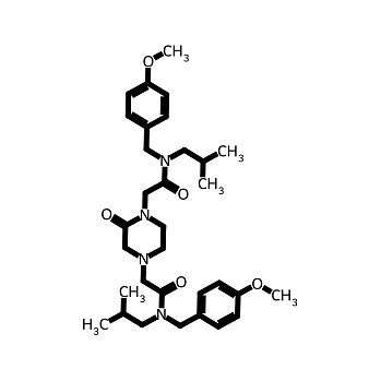 COc1ccc(CN(CC(C)C)C(=O)CN2CCN(CC(=O)N(Cc3ccc(OC)cc3)CC(C)C)C(=O)C2)cc1